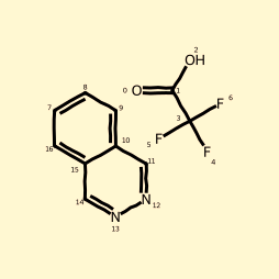 O=C(O)C(F)(F)F.c1ccc2cnncc2c1